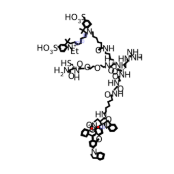 CC[N+]1=C(/C=C/C=C/C=C2/N(CCCCCC(=O)NCCCC[C@H](NC(=O)[C@H](CCCNC(=N)N)NC(=O)CNC(=O)CNC(=O)CCCCCNC(=O)C3CCN(S(=O)(=O)c4ccccc4-c4c5cc/c(=[N+]6\CCc7ccccc76)cc-5oc5cc(N6CCc7ccccc76)ccc45)CC3)C(=O)NCCOCCOCC(=O)N[C@@H](CS)C(N)=O)c3ccc(S(=O)(=O)O)cc3C2(C)C)C(C)(C)c2cc(S(=O)(=O)O)ccc21